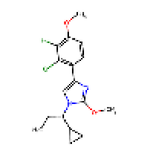 CCC(C1CC1)n1cc(-c2ccc(OC)c(F)c2Cl)nc1OC